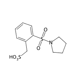 O=S(=O)(O)Cc1ccccc1S(=O)(=O)N1CCCC1